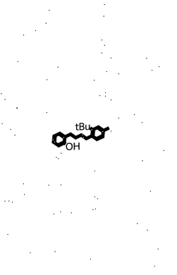 Cc1ccc(CCCCc2ccccc2O)c(C(C)(C)C)c1